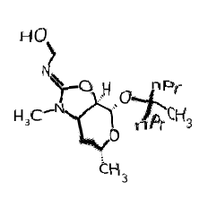 CCCC(C)(CCC)O[C@@H]1O[C@H](C)CC2[C@H]1O/C(=N\CO)N2C